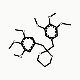 COc1cc(CC2(Cc3cc(OC)c(OC)c(OC)c3)SCCCS2)cc(OC)c1OC